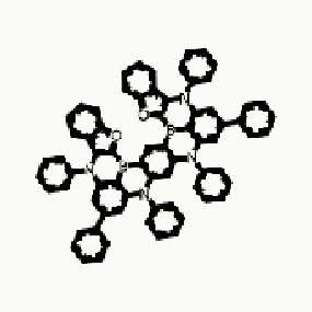 c1ccc(-c2cc3c4c(c2)N(c2ccccc2)c2c(oc5ccccc25)B4c2cc4c(cc2N3c2ccccc2)N(c2ccccc2)c2cc(-c3ccccc3)cc3c2B4c2oc4ccccc4c2N3c2ccccc2)cc1